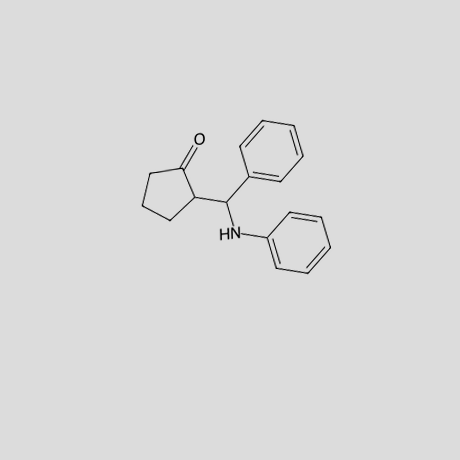 O=C1CCCC1C(Nc1ccccc1)c1ccccc1